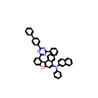 c1ccc(-c2ccc(-c3nc(-c4ccccc4)nc(-c4cccc5oc6cc(N(c7ccccc7)c7ccc8ccccc8c7)c7ccccc7c6c45)n3)cc2)cc1